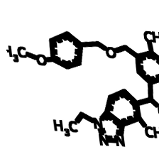 CCn1nnc2c(C)c(C(O)c3ccc(C)c(COCc4ccc(OC)cc4)c3)ccc21